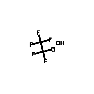 Cl.FC(F)(F)C(F)(F)Cl